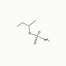 CCC(C)OS(N)(=O)=O